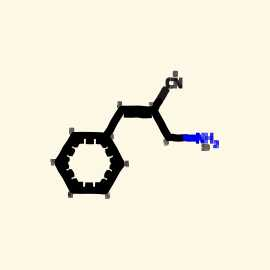 N#CC(=Cc1ccccc1)CN